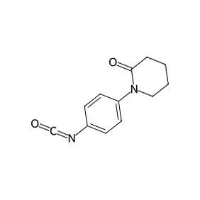 O=C=Nc1ccc(N2CCCCC2=O)cc1